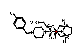 COCCOC(=O)N1[C@@H]2CC[C@H]1CN(S(=O)(=O)N1CCN(Cc3ccc(Cl)cc3)CC1)C2